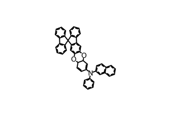 C1=CC2Oc3cc4c(cc3OC2C=C1N(c1ccccc1)c1ccc2ccccc2c1)-c1ccccc1C41c2ccccc2-c2ccccc21